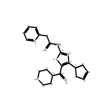 O=C(Cc1ccccn1)Nc1nc(C2CC=CC2)c(C(=O)C2CCOCC2)s1